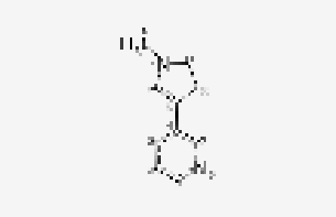 CN1C=C(c2cccnc2)CC1